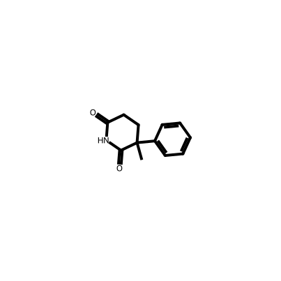 CC1(c2ccccc2)CCC(=O)NC1=O